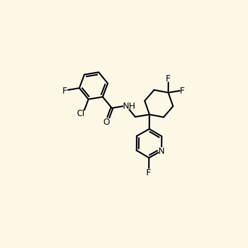 O=C(NCC1(c2ccc(F)nc2)CCC(F)(F)CC1)c1cccc(F)c1Cl